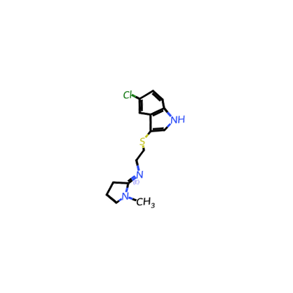 CN1CCC/C1=N\CCSc1c[nH]c2ccc(Cl)cc12